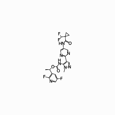 C[C@@H](OC(=O)Nc1c(-c2ncc(NC(=O)C3(C(F)F)CC3)cn2)cnn1C)c1cc(F)cnc1F